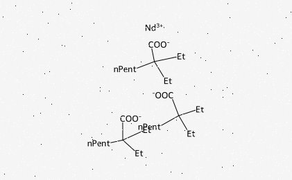 CCCCCC(CC)(CC)C(=O)[O-].CCCCCC(CC)(CC)C(=O)[O-].CCCCCC(CC)(CC)C(=O)[O-].[Nd+3]